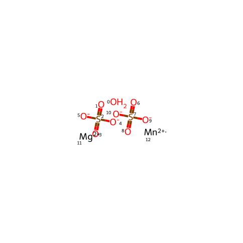 O.O=S(=O)([O-])[O-].O=S(=O)([O-])[O-].[Mg+2].[Mn+2]